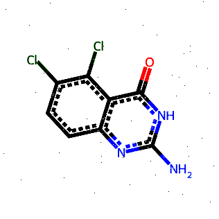 Nc1nc2ccc(Cl)c(Cl)c2c(=O)[nH]1